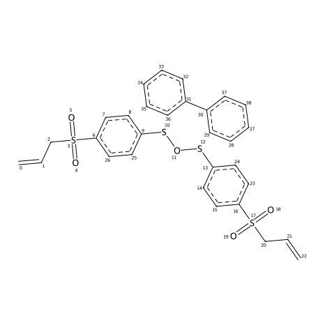 C=CCS(=O)(=O)c1ccc(SOSc2ccc(S(=O)(=O)CC=C)cc2)cc1.c1ccc(-c2ccccc2)cc1